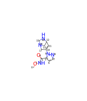 CONC(=O)c1ccnn1C1=CC2CN(CN2)C1